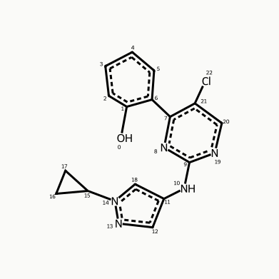 Oc1ccccc1-c1nc(Nc2cnn(C3CC3)c2)ncc1Cl